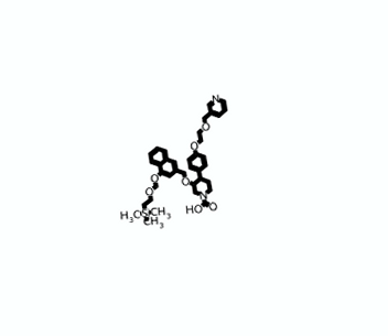 C[Si](C)(C)CCOCOc1cc(COC2CN(C(=O)O)CCC2c2ccc(OCCOCc3cccnc3)cc2)cc2ccccc12